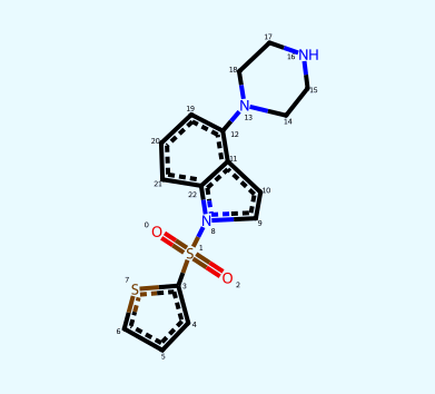 O=S(=O)(c1cccs1)n1ccc2c(N3CCNCC3)cccc21